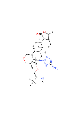 CN[C@H](CO[C@H]1[C@H](n2nnc(N)n2)C[C@@]23COC[C@]1(C)[C@@H]2CC[C@H]1C3=CC[C@@]2(C)[C@H](C(=O)O)[C@@](C)([C@H](C)C(C)C)CC[C@]12C)C(C)(C)C